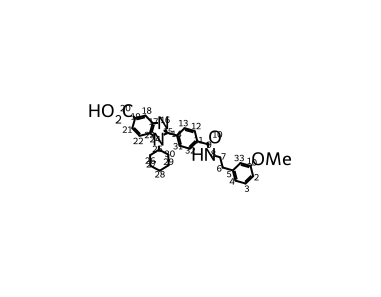 COc1cccc(CCNC(=O)c2ccc(-c3nc4cc(C(=O)O)ccc4n3C3CCCCC3)cc2)c1